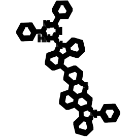 c1ccc(C2=NC(c3ccccc3)NC(n3c4ccccc4c4c(-c5ccc6c(c5)-c5cccc7c5c(cc5c7c7ccccc7n5-c5ccccc5)S6)cccc43)=N2)cc1